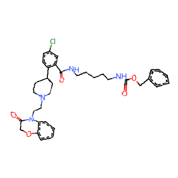 O=C(NCCCCCNC(=O)c1cc(Cl)ccc1C1CCN(CCN2C(=O)COc3ccccc32)CC1)OCc1ccccc1